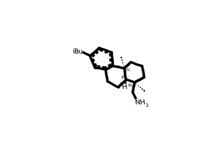 CCC(C)c1ccc2c(c1)CC[C@H]1[C@](C)(CN)CCC[C@]21C